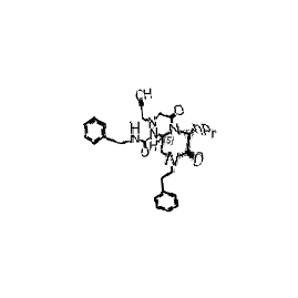 C#CCN1CC(=O)N2[C@@H](CCC)C(=O)N(CCc3ccccc3)C[C@@H]2N1C(=O)NCc1ccccc1